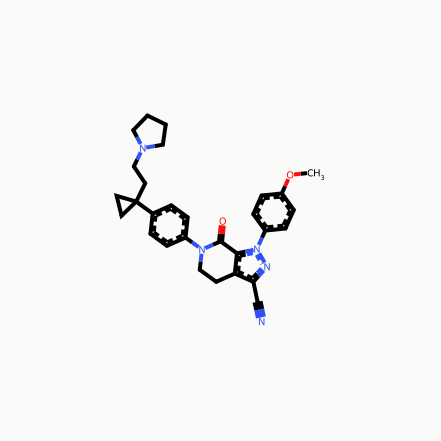 COc1ccc(-n2nc(C#N)c3c2C(=O)N(c2ccc(C4(CCN5CCCC5)CC4)cc2)CC3)cc1